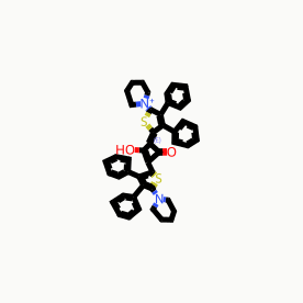 O=C1C(c2sc(N3CCCCC3)c(-c3ccccc3)c2-c2ccccc2)=C(O)/C1=C1\SC(=[N+]2CCCCC2)C(c2ccccc2)=C1c1ccccc1